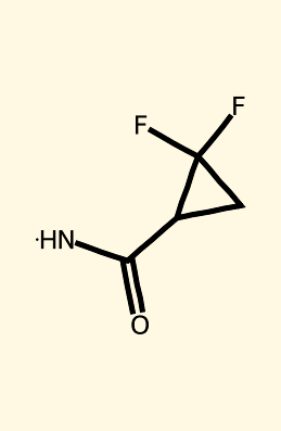 [NH]C(=O)C1CC1(F)F